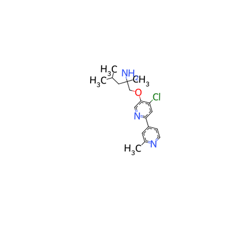 Cc1cc(-c2cc(Cl)c(OCC(C)(N)CC(C)C)cn2)ccn1